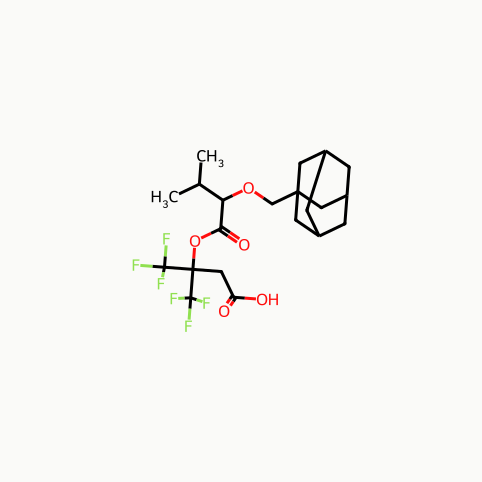 CC(C)C(OCC12CC3CC(CC(C3)C1)C2)C(=O)OC(CC(=O)O)(C(F)(F)F)C(F)(F)F